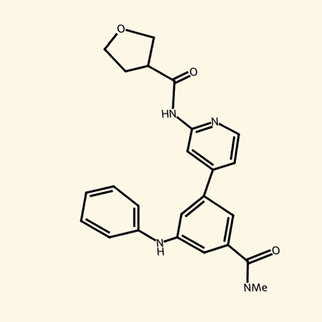 CNC(=O)c1cc(Nc2ccccc2)cc(-c2ccnc(NC(=O)C3CCOC3)c2)c1